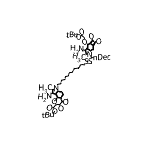 CCCCCCCCCCC(SSCCCCCCCCCCCCn1c(C)c(N)c2c3c(ccc21)C(=O)C(=O)C(C(=O)OC(C)(C)C)O3)n1c(C)c(N)c2c(OCC(=O)OC(C)(C)C)c3c(=O)c(=O)c3cc21